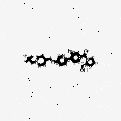 CC(C)(F)CN1CCC(COc2ccc(-c3ccc(C(=O)N4CCC[C@H]4CO)cc3F)nc2)CC1